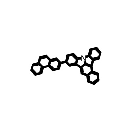 c1ccc2c(c1)ccc1cc(-c3ccc4c(c3)c3cc5ccccc5c5c6ccccc6n4c35)ccc12